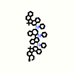 C#Cc1ccc2c(c1/C=C\C)-c1c(cc(N(c3ccccc3)c3cc4c(c5c(n4-c4ccccc4)C=C(N(c4ccccc4)c4cc6c(c7ccccc47)-c4c(ccc7ccccc47)C6(C)C)Cc4ccccc4-5)c4ccccc34)c3ccccc13)C2(C)C